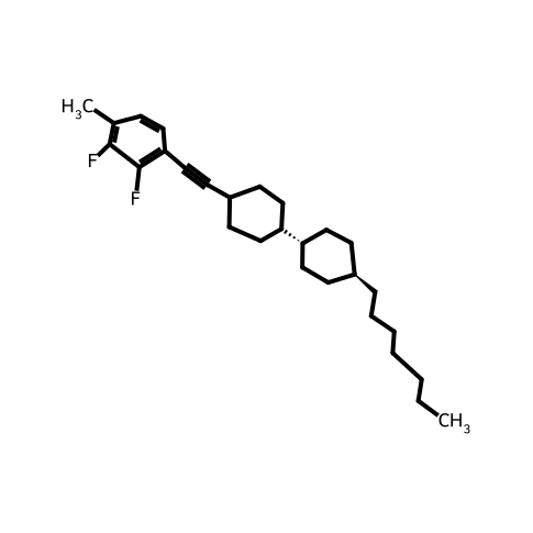 CCCCCCC[C@H]1CC[C@H](C2CCC(C#Cc3ccc(C)c(F)c3F)CC2)CC1